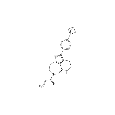 C=CC(=O)N1CCc2nn(-c3ccc(C45CC(C4)C5)cc3)c3c2[C@@H](C1)NCC3